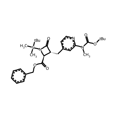 CN(C(=O)OC(C)(C)C)c1cc(C[C@H]2C(=O)N([Si](C)(C)C(C)(C)C)[C@@H]2C(=O)OCc2ccccc2)ccn1